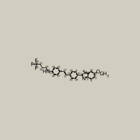 COc1ccc2nc(-c3ccc(C=Cc4ccc(NCCCC(F)(F)F)cc4)cc3)sc2c1